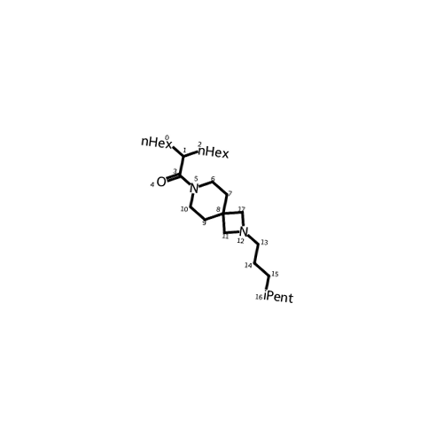 CCCCCCC(CCCCCC)C(=O)N1CCC2(CC1)CN(CCCC(C)CCC)C2